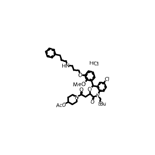 COc1c(OCCCNCCCc2ccccc2)cccc1C1OC(CC(=O)N2CCC(OC(C)=O)CC2)C(=O)N(CC(C)(C)C)c2ccc(Cl)cc21.Cl